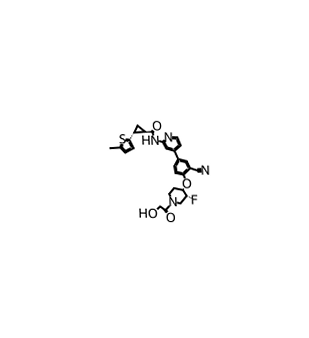 Cc1ccc([C@@H]2C[C@H]2C(=O)Nc2cc(-c3ccc(O[C@H]4CCN(C(=O)CO)C[C@H]4F)c(C#N)c3)ccn2)s1